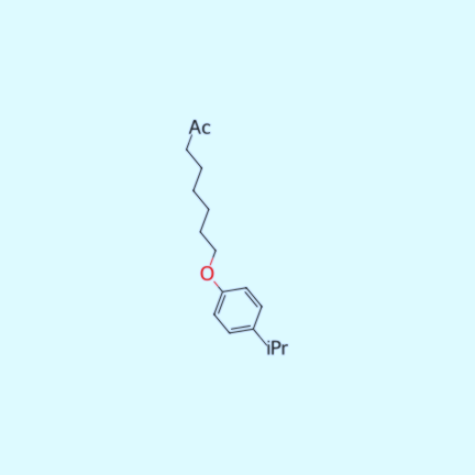 CC(=O)CCCCCCOc1ccc(C(C)C)cc1